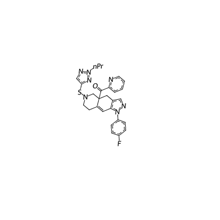 CCCn1ncc(SN2CCC3=Cc4c(cnn4-c4ccc(F)cc4)CC3(C(=O)c3ccccn3)C2)n1